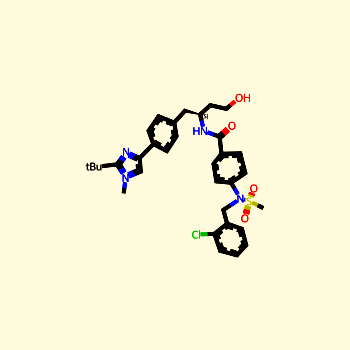 Cn1cc(-c2ccc(C[C@@H](CCO)NC(=O)c3ccc(N(Cc4ccccc4Cl)S(C)(=O)=O)cc3)cc2)nc1C(C)(C)C